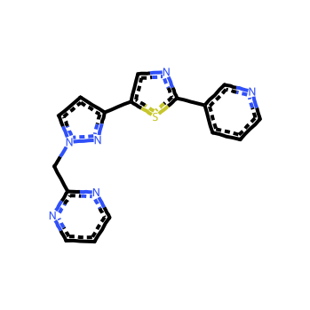 c1cnc(Cn2ccc(-c3cnc(-c4cccnc4)s3)n2)nc1